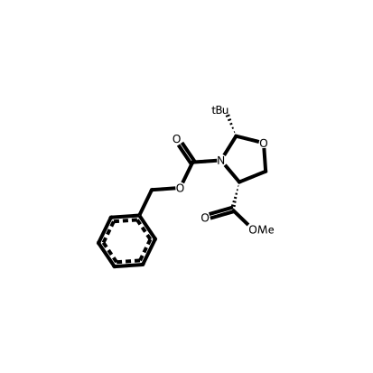 COC(=O)[C@H]1CO[C@@H](C(C)(C)C)N1C(=O)OCc1ccccc1